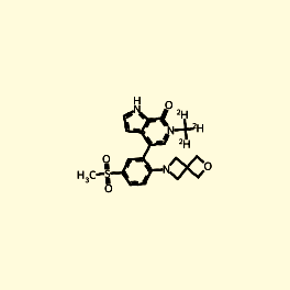 [2H]C([2H])([2H])n1cc(-c2cc(S(C)(=O)=O)ccc2N2CC3(COC3)C2)c2cc[nH]c2c1=O